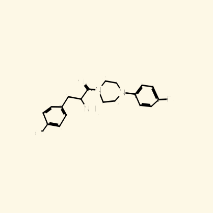 NC(Cc1ccc(Cl)cc1)C(=O)N1CCN(c2ccc(F)cc2)CC1